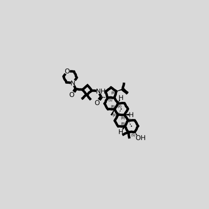 C=C(C)[C@@H]1CC[C@]2(C(=O)NC3CC(C(=O)N4CCOCC4)C3(C)C)CC[C@]3(C)[C@H](CC[C@@H]4[C@@]5(C)CC[C@H](O)C(C)(C)[C@@H]5CC[C@]43C)C12